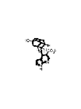 O=C(O)c1cnc2[nH]ccc2c1N[C@H]1[C@@H]2CC3C[C@H]1C[C@@](O)(C3)C2